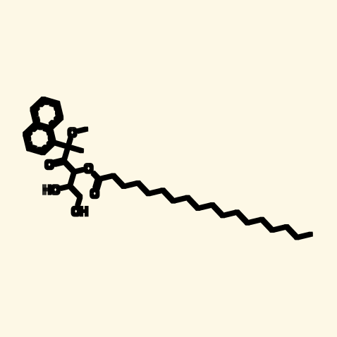 CCCCCCCCCCCCCCCCCC(=O)OC(C(=O)C(C)(OC)c1cccc2ccccc12)C(O)CO